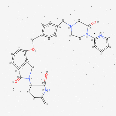 C=C1CCC(N2Cc3c(OCc4ccc(CN5CCN(c6ccccn6)C(=O)C5)cc4)cccc3C2=O)C(=O)N1